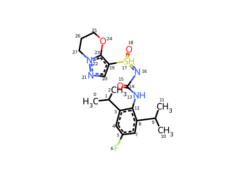 CC(C)c1cc(F)cc(C(C)C)c1NC(=O)/N=[SH](=O)\c1cnn2c1OCCC2